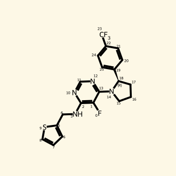 Fc1c(NCc2cccs2)ncnc1N1CCC[C@@H]1c1ccc(C(F)(F)F)cc1